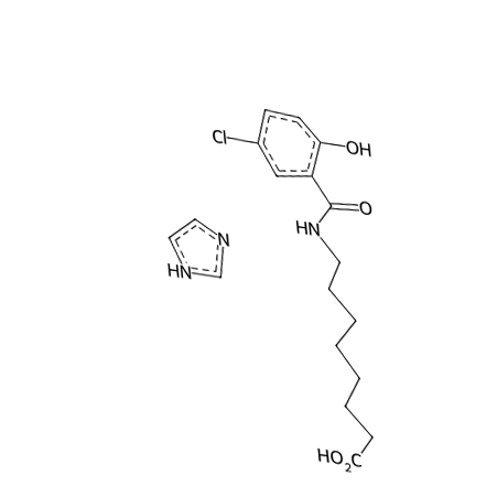 O=C(O)CCCCCCCNC(=O)c1cc(Cl)ccc1O.c1c[nH]cn1